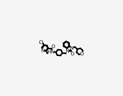 Cc1ncc(Cl)cc1C(=O)NC1CCC(Cn2c(=O)n(CC3CCOCC3)c3ccccc32)CC1